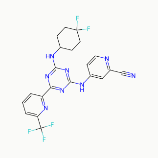 N#Cc1cc(Nc2nc(NC3CCC(F)(F)CC3)nc(-c3cccc(C(F)(F)F)n3)n2)ccn1